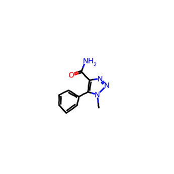 Cn1nnc(C(N)=O)c1-c1ccccc1